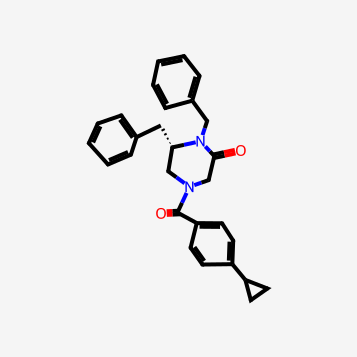 O=C(c1ccc(C2CC2)cc1)N1CC(=O)N(Cc2ccccc2)[C@@H](Cc2ccccc2)C1